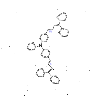 C(/C=C/c1ccc(N(c2ccccc2)c2ccc(/C=C/C=C(c3ccccc3)c3ccccc3)cc2)cc1)=C(c1ccccc1)c1ccccc1